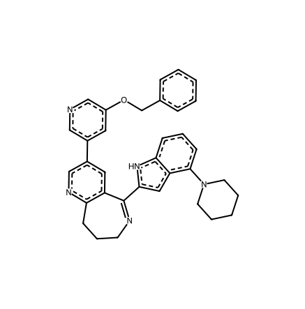 c1ccc(COc2cncc(-c3cnc4c(c3)C(c3cc5c(N6CCCCC6)cccc5[nH]3)=NCCC4)c2)cc1